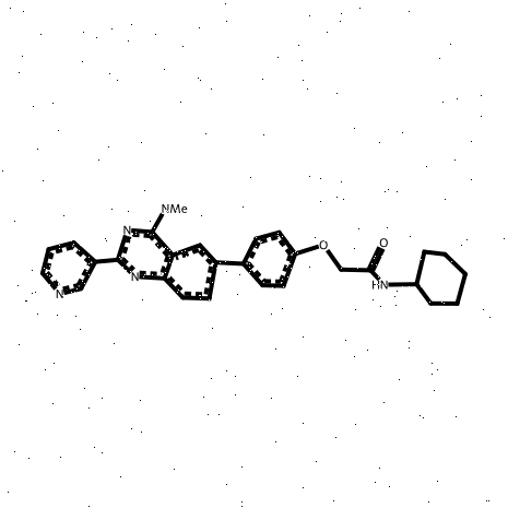 CNc1nc(-c2cccnc2)nc2ccc(-c3ccc(OCC(=O)NC4CCCCC4)cc3)cc12